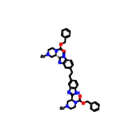 CC(=O)N1CCN(C(=O)OCc2ccccc2)[C@H](c2nc3cc(CCc4ccc5[nH]c([C@@H]6CN(C(C)=O)CCN6C(=O)OCc6ccccc6)nc5c4)ccc3[nH]2)C1